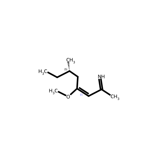 CC[C@H](C)C/C(=C\C(C)=N)OC